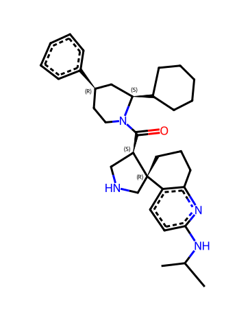 CC(C)Nc1ccc2c(n1)CCC[C@]21CNC[C@H]1C(=O)N1CC[C@@H](c2ccccc2)C[C@H]1C1CCCCC1